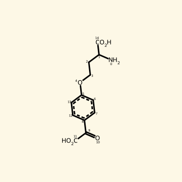 NC(CCOc1ccc(C(=O)C(=O)O)cc1)C(=O)O